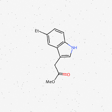 CCc1ccc2[nH]cc(CC(=O)OC)c2c1